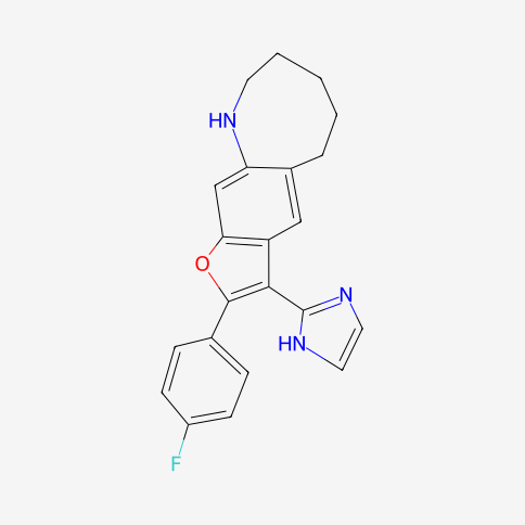 Fc1ccc(-c2oc3cc4c(cc3c2-c2ncc[nH]2)CCCCCN4)cc1